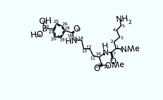 CNC(CCCCN)C(=O)NC(CCCCNC(=O)c1ccc(B(O)O)cc1)C(=O)OC